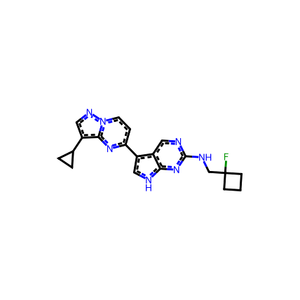 FC1(CNc2ncc3c(-c4ccn5ncc(C6CC6)c5n4)c[nH]c3n2)CCC1